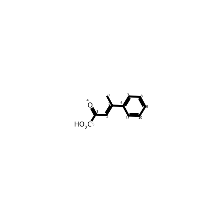 CC(=CC(=O)C(=O)O)c1ccccc1